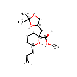 C=CC[C@H]1CCC[C@](C[C@@H]2COC(C)(C)O2)(C(=O)OC)O1